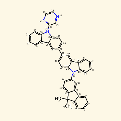 CC1(C)c2ccccc2-c2cc(-n3c4ccccc4c4cc(-c5ccc6c(c5)c5ccccc5n6-c5cnccn5)ccc43)ccc21